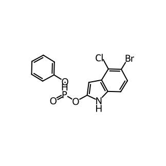 O=[PH](Oc1ccccc1)Oc1cc2c(Cl)c(Br)ccc2[nH]1